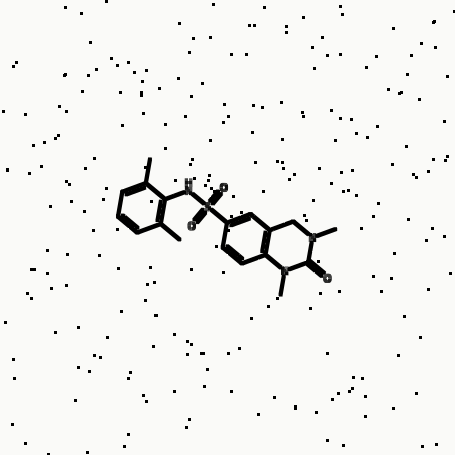 Cc1cccc(C)c1NS(=O)(=O)c1ccc2c(c1)CN(C)C(=O)N2C